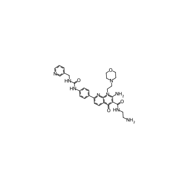 NCCNC(=O)c1c(N)n(CCN2CCOCC2)c2nc(-c3ccc(NC(=O)NCc4cccnc4)cc3)ccc2c1=O